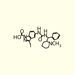 CN1CCCCC1C(NC(=O)Nc1ccc2c(c1)c(I)nn2C(=O)O)c1ccccc1